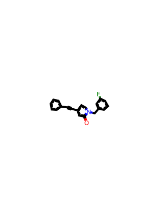 O=c1cc(C#Cc2ccccc2)ccn1Cc1cccc(F)c1